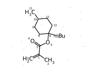 C=C(C)C(=O)OC1(CCCC)CCC(C)CC1